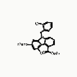 CCCCCc1cc(O)c2c3c(C(=O)OC)cccc3n(Cc3ccccc3Cl)c2c1